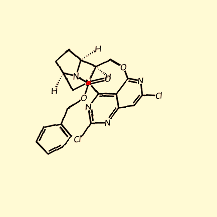 O=C(OCc1ccccc1)N1[C@@H]2CC[C@H]1[C@H]1COc3nc(Cl)cc4nc(Cl)nc(c34)N1C2